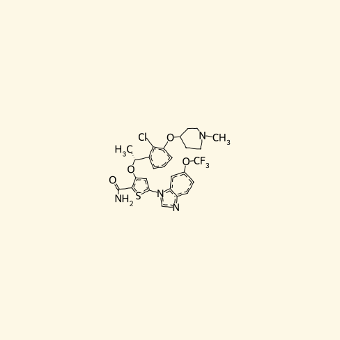 C[C@@H](Oc1cc(-n2cnc3ccc(OC(F)(F)F)cc32)sc1C(N)=O)c1cccc(OC2CCN(C)CC2)c1Cl